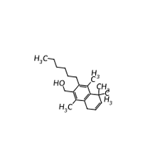 CCCCCCc1c(C)c2c(c(C)c1CO)CC=CC2(C)C